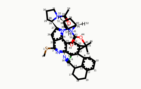 CSc1nc2c(F)c(-c3cccc4c3C(C#N)CCC4)c(C)cc2c2c1cc([C@H]1CCCN1C(C)=O)n2[C@H]1[C@@H]2C[C@H]1N(C(=O)OC(C)(C)C)C2